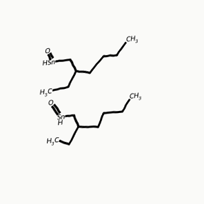 CCCCC(CC)[CH2][SnH]=[O].CCCCC(CC)[CH2][SnH]=[O]